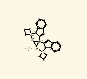 CCC[Si]1(C2[C]([Hf+2]3([C]4=Cc5ccccc5C4[Si]4(CCC)CCC4)[CH2][CH2]3)=Cc3ccccc32)CCC1.[Cl-].[Cl-]